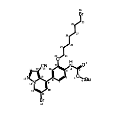 CC(C)(C)OC(=O)Nc1ccc(-c2cc(Br)cn3ncc(C#N)c23)cc1OCCCCCCCBr